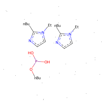 CCCCOP(O)O.CCCCc1nccn1CC.CCCCc1nccn1CC